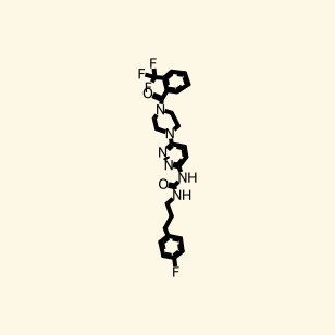 O=C(NCCCc1ccc(F)cc1)Nc1ccc(N2CCN(C(=O)c3ccccc3C(F)(F)F)CC2)nn1